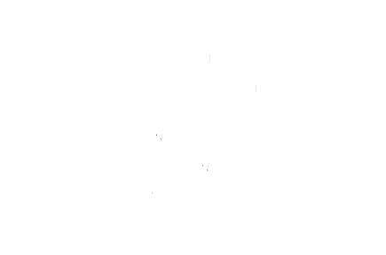 O=c1c(C(F)F)cn(F)c(=O)n1F